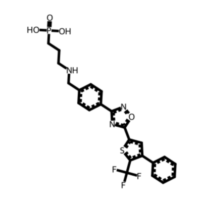 O=P(O)(O)CCCNCc1ccc(-c2noc(-c3cc(-c4ccccc4)c(C(F)(F)F)s3)n2)cc1